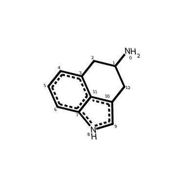 NC1Cc2cccc3[nH]cc(c23)C1